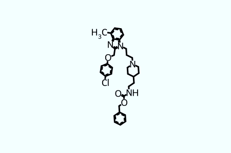 Cc1cccc2c1nc(COc1ccc(Cl)cc1)n2CCCN1CCC(CCNC(=O)OCc2ccccc2)CC1